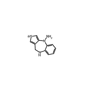 NN1C2=C[SH]C=C2CNc2ccccc21